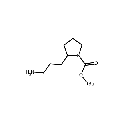 CC(C)(C)OC(=O)N1CCCC1CCCN